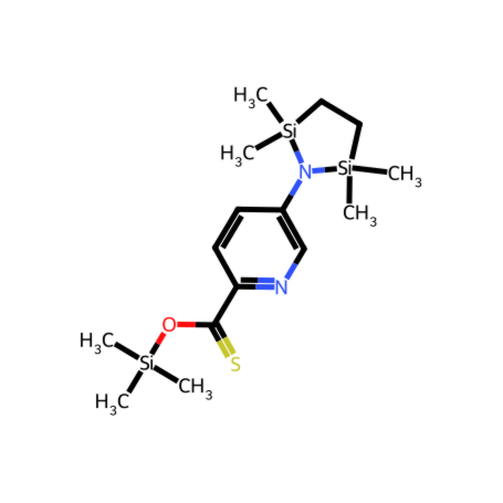 C[Si](C)(C)OC(=S)c1ccc(N2[Si](C)(C)CC[Si]2(C)C)cn1